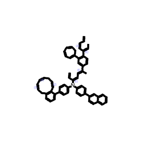 C=C/C=C\C(=C/C)c1ccc(/C(C)=C/C=C(\C=C)N(c2ccc(-c3ccc4ccccc4c3)cc2)c2ccc(-c3cccc4c3/C=C\C/C=C\C=C/C4)cc2)cc1C1=CC=CC=CC1